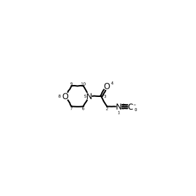 [C-]#[N+]CC(=O)N1CCOCC1